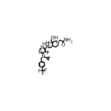 C[C@]1(CO)CN(CC(N)=O)CCC1CNc1ncnc(N(Cc2ccc(C(F)(F)F)cc2)C2CC2)c1F